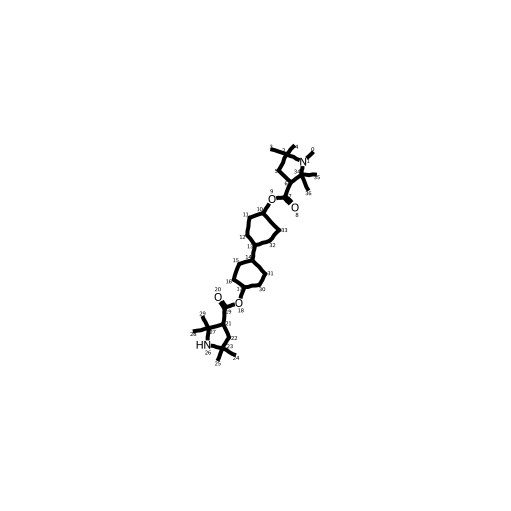 CN1C(C)(C)CC(C(=O)OC2CCC(C3CCC(OC(=O)C4CC(C)(C)NC4(C)C)CC3)CC2)C1(C)C